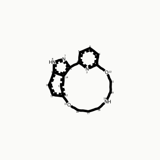 c1cc2nc(c1)-c1n[nH]c3ccc(cc13)OCCCNCCO2